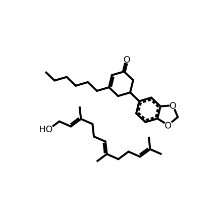 CC(C)=CCCC(C)=CCCC(C)=CCO.CCCCCCC1=CC(=O)CC(c2ccc3c(c2)OCO3)C1